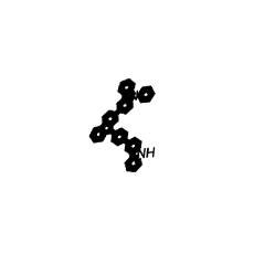 c1ccc(-n2c3ccccc3c3cc(-c4ccc5c(c4)C(c4ccc(-c6ccc7[nH]c8ccccc8c7c6)cc4)c4ccccc4-5)ccc32)cc1